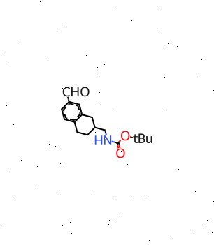 CC(C)(C)OC(=O)NCC1CCc2ccc(C=O)cc2C1